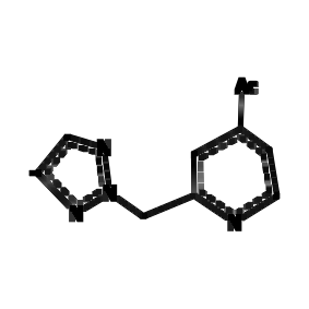 CC(=O)c1ccnc(Cn2n[c]cn2)c1